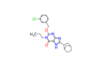 CCCn1c(OCc2cccc(Cl)c2)nc2nc(C3CC4CCC3C4)[nH]c2c1=O